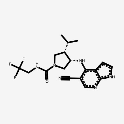 CC(C)[C@H]1CN(C(=O)NCC(F)(F)F)C[C@H]1Nc1c(C#N)cnc2[nH]ccc12